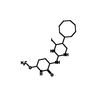 COC1CCC(NC2NCC(C3CCCCCCC3)C(I)N2)C(=O)N1